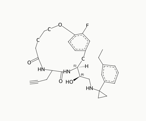 C#CCC1NC(=O)CCCCOc2ccc(cc2F)C[C@@H]([C@H](O)CNC2(c3cccc(CC)c3)CC2)NC1=O